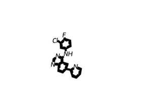 Fc1ccc(Nc2ncnc3ccc(-c4ccccn4)cc23)cc1Cl